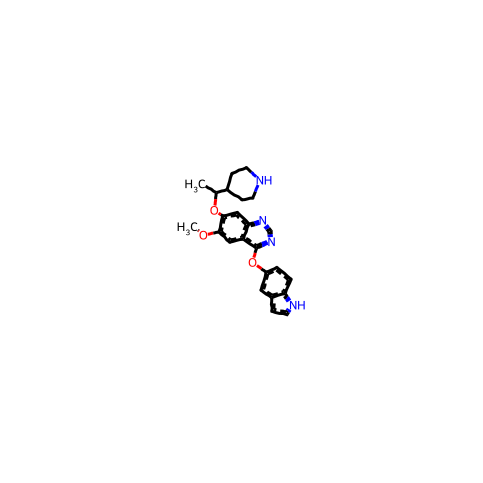 COc1cc2c(Oc3ccc4[nH]ccc4c3)ncnc2cc1OC(C)C1CCNCC1